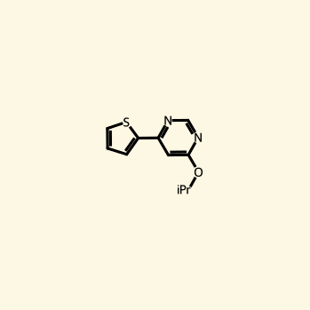 CC(C)Oc1cc(-c2cccs2)ncn1